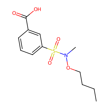 CCCCON(C)S(=O)(=O)c1cccc(C(=O)O)c1